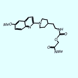 CNC(=O)COC(=O)NCCC1CCN(c2ccc3cc(OC)ccc3n2)CC1